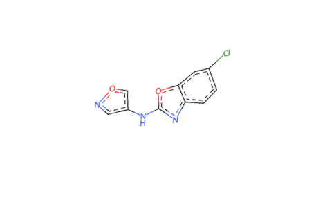 Clc1ccc2nc(Nc3cnoc3)oc2c1